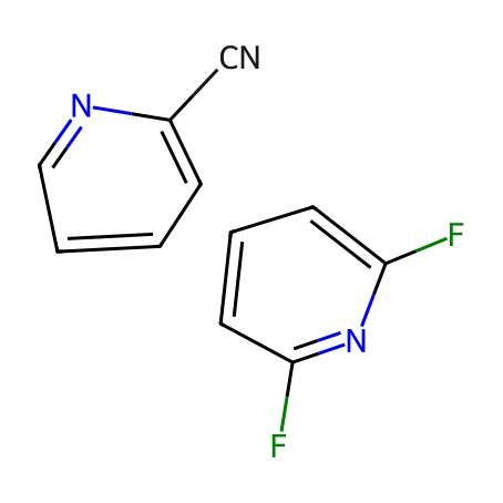 Fc1cccc(F)n1.N#Cc1ccccn1